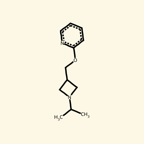 CC(C)N1CC(COc2ccccn2)C1